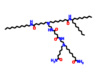 CCCCCCCCCCCNC(=O)CCCCCN(CCCCCCCC(=O)NC(CCCCCCCC)CCCCCCCC)CCNC(=O)CCC(=O)NCCN(CCCCCCCC(N)=O)CCCCCC(N)=O